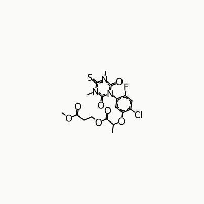 COC(=O)CCOC(=O)C(C)Oc1cc(-n2c(=O)n(C)c(=S)n(C)c2=O)c(F)cc1Cl